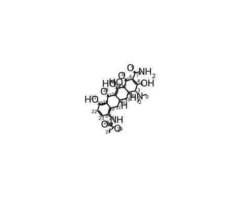 CN(C)[C@@H]1C(O)=C(C(N)=O)C(=O)[C@@]2(O)C(O)=C3C(=O)c4c(O)ccc(NS(C)(=O)=O)c4C[C@H]3C[C@@H]12